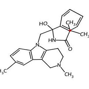 Cc1ccc2c(c1)c1c(n2CC(O)(NC(=O)C(C)C)c2ccccc2)CCN(C)C1